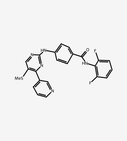 CSc1cnc(Nc2ccc(C(=O)Nc3c(F)cccc3F)cc2)nc1-c1cccnc1